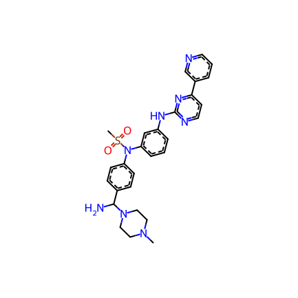 CN1CCN(C(N)c2ccc(N(c3cccc(Nc4nccc(-c5cccnc5)n4)c3)S(C)(=O)=O)cc2)CC1